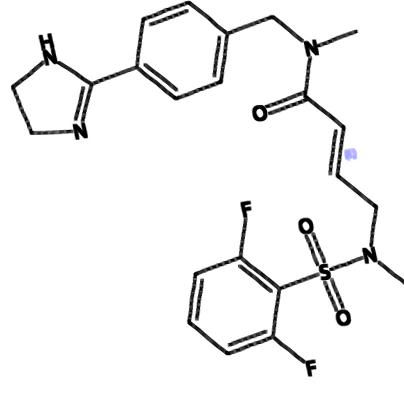 CN(Cc1ccc(C2=NCCN2)cc1)C(=O)/C=C/CN(C)S(=O)(=O)c1c(F)cccc1F